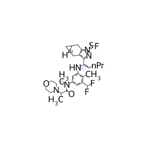 CCC/C=C(/Nc1cc(N(C)C(=O)C(C)N2CCOCC2)cc(C(F)F)c1C)c1nn(SF)c2c1C[C@@H]1CC1C2